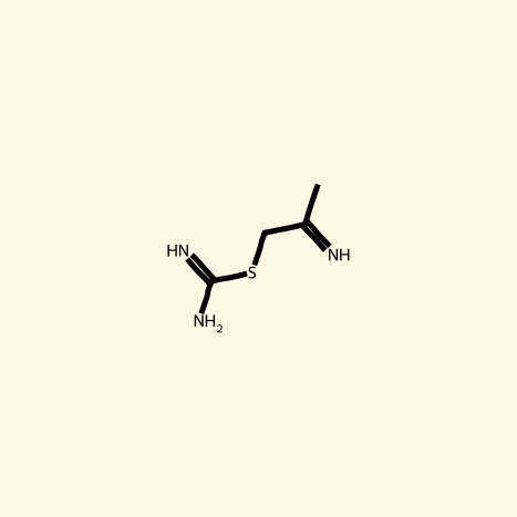 CC(=N)CSC(=N)N